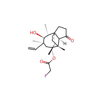 C=C[C@]1(C)C[C@@H](OC(=O)CI)[C@]2(C)[C@H](C)CC[C@]3(CCC(=O)[C@H]32)[C@@H](C)[C@@H]1O